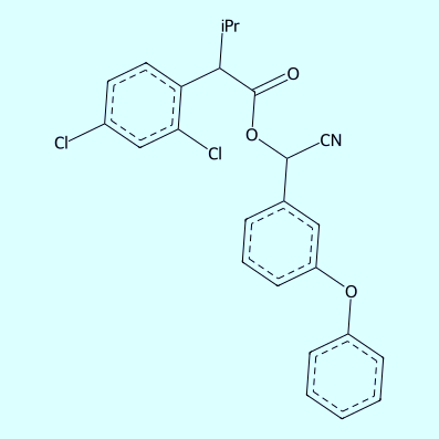 CC(C)C(C(=O)OC(C#N)c1cccc(Oc2ccccc2)c1)c1ccc(Cl)cc1Cl